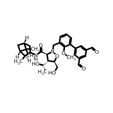 COc1c(CN2O[C@@H](CO)[C@H]([C@H](C)O)[C@H]2C(=O)NC2C[C@H]3C[C@@H]([C@@H]2C)C3(C)C)cccc1-c1cc(C=O)cc(C=O)c1